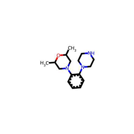 CC1CN(c2ccccc2N2CCNCC2)CC(C)O1